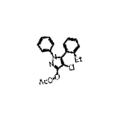 CCc1ccccc1-c1c(Cl)c(OOC(C)=O)nn1-c1ccccc1